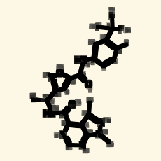 Cc1ccc(NC(=O)c2cc([C@H](C)NC(=O)c3ncnc4c3c(C)nn4C)no2)cc1C(F)(F)F